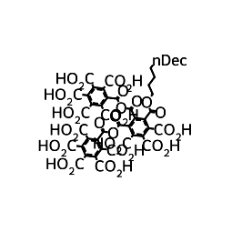 CCCCCCCCCCCCCCOC(=O)c1c(C(=O)O)c(C(=O)O)c(C(=O)O)c(C(=O)OC(=O)c2c(C(=O)O)c(C(=O)O)c(C(=O)O)c(C(=O)O)c2C(=O)O)c1C(=O)OC(=O)c1c(C(=O)O)c(C(=O)O)c(C(=O)O)c(C(=O)O)c1C(=O)O